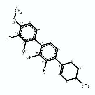 CC1CC=C(c2ccc(-c3ccc(OC(F)(F)F)c(F)c3O)c(F)c2F)CC1